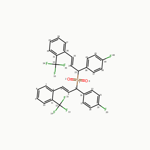 O=S(=O)(C(C=Cc1ccccc1C(F)(F)F)c1ccc(F)cc1)C(C=Cc1ccccc1C(F)(F)F)c1ccc(F)cc1